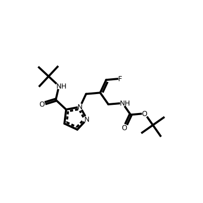 CC(C)(C)NC(=O)c1ccnn1C/C(=C/F)CNC(=O)OC(C)(C)C